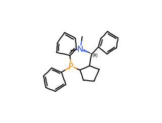 CN(C)[C@@H](c1ccccc1)C1CCCC1P(c1ccccc1)c1ccccc1